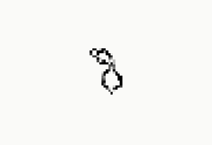 c1cnccn1.c1cocn1